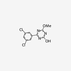 COc1nc(O)nc(-c2cc(Cl)cc(Cl)c2)n1